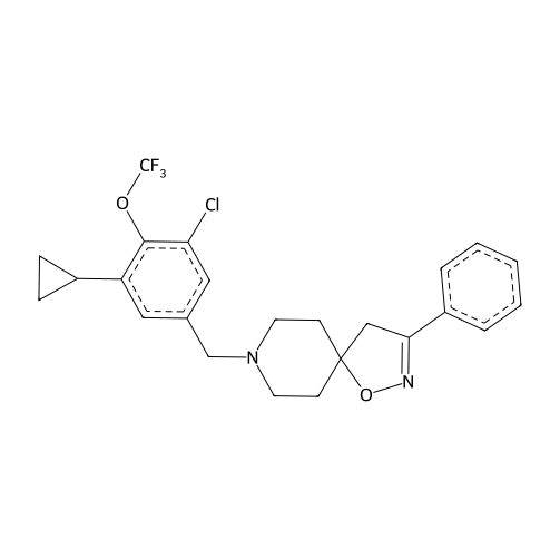 FC(F)(F)Oc1c(Cl)cc(CN2CCC3(CC2)CC(c2ccccc2)=NO3)cc1C1CC1